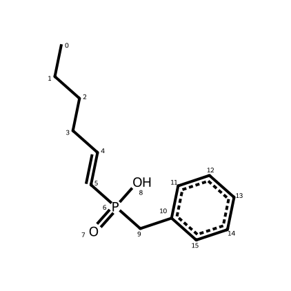 CCCCC=CP(=O)(O)Cc1ccccc1